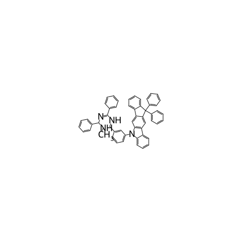 CNC(/N=C(\NCc1cccc(-n2c3ccccc3c3cc4c(cc32)-c2ccccc2C4(c2ccccc2)c2ccccc2)c1)c1ccccc1)c1ccccc1